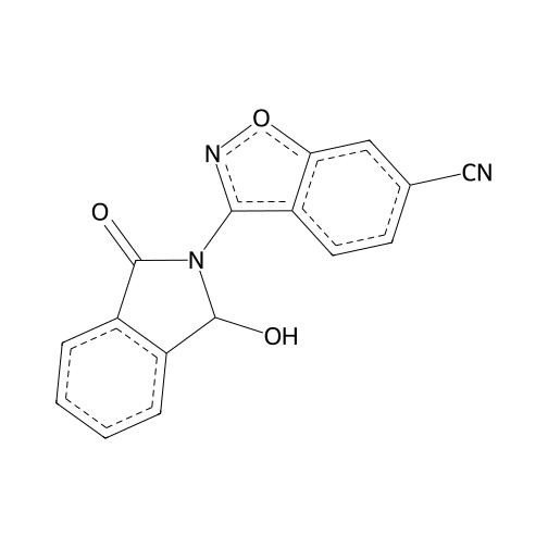 N#Cc1ccc2c(N3C(=O)c4ccccc4C3O)noc2c1